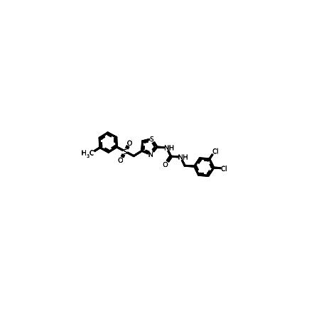 Cc1cccc(S(=O)(=O)Cc2csc(NC(=O)NCc3ccc(Cl)c(Cl)c3)n2)c1